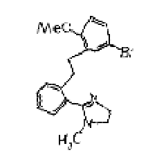 COc1ccc(Br)cc1CCc1ccccc1C1=NCCN1C